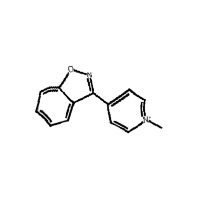 C[n+]1ccc(-c2noc3ccccc23)cc1